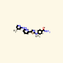 Cc1ccnc(Nc2cccc(-c3cnc(N(C)C4CCC(C(N)=O)CC4)s3)n2)c1